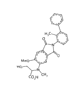 COc1cc2c(cc1N(C)C(CO)C(=O)O)C(=O)N(c1cccc(-c3ccccc3)c1C)C2=O